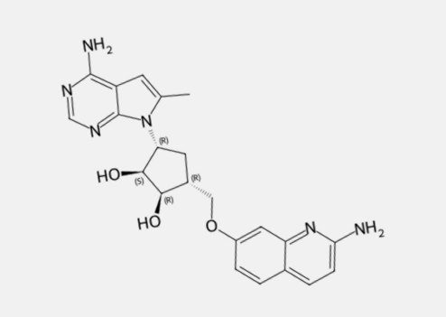 Cc1cc2c(N)ncnc2n1[C@@H]1C[C@H](COc2ccc3ccc(N)nc3c2)[C@@H](O)[C@H]1O